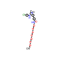 C=C[C@H]1CC(Nc2ccc(Cl)cc2)c2cc(-c3ccc(C(=O)NCCOCCOCCOCCOCCOCCOCCOCCN=O)cc3)ccc2N1C(C)=O